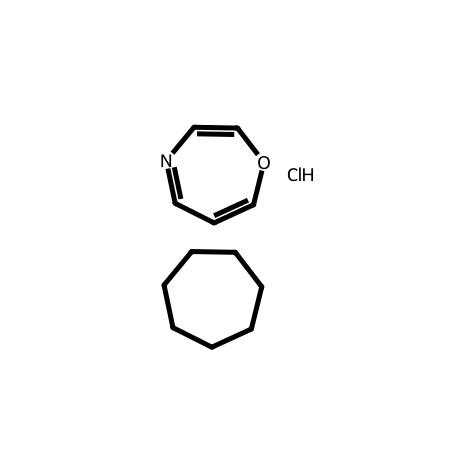 C1=COC=CN=C1.C1CCCCCC1.Cl